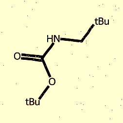 CC(C)(C)CNC(=O)OC(C)(C)C